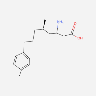 Cc1ccc(CCC[C@@H](C)CC(N)CC(=O)O)cc1